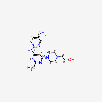 Cc1nc(Nc2ncc(N)cn2)cc(N2CCN(CCO)CC2)n1